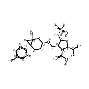 COC(=O)N1[C@H](C(F)F)C[C@H](NS(C)(=O)=O)[C@@H]1CO[C@H]1CC[C@@]2(c3ncc(F)cn3)C[C@H]2C1